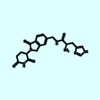 NC(Cc1c[nH]cn1)C(=O)NCc1ccc2c(c1)CN(C1CCC(=O)NC1=O)C2=O